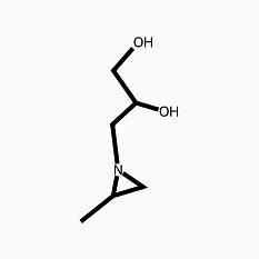 CC1CN1CC(O)CO